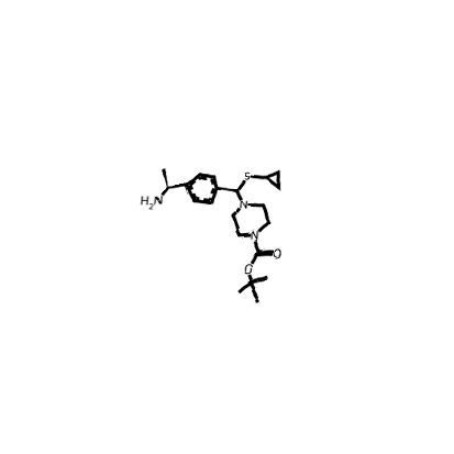 C[C@H](N)c1ccc(C(SC2CC2)N2CCN(C(=O)OC(C)(C)C)CC2)cc1